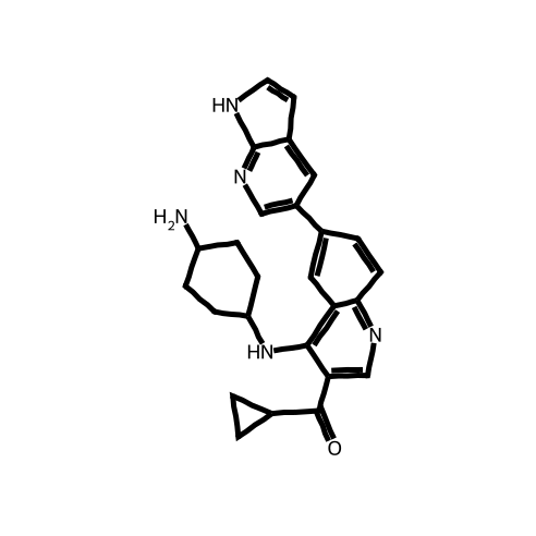 NC1CCC(Nc2c(C(=O)C3CC3)cnc3ccc(-c4cnc5[nH]ccc5c4)cc23)CC1